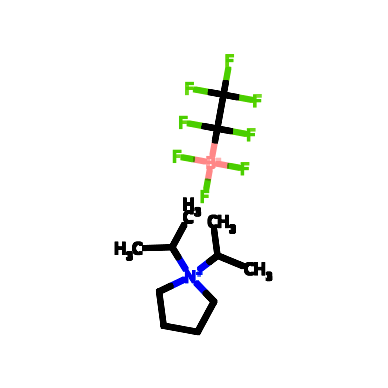 CC(C)[N+]1(C(C)C)CCCC1.F[B-](F)(F)C(F)(F)C(F)(F)F